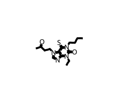 CCCCn1c(=S)c2c(ncn2CCC(C)=O)n(CC)c1=O